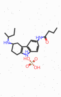 CCCC(=O)Nc1ccc2[nH]c3c(c2c1)CC(NC(C)CC)CC3.O=S(=O)(O)O